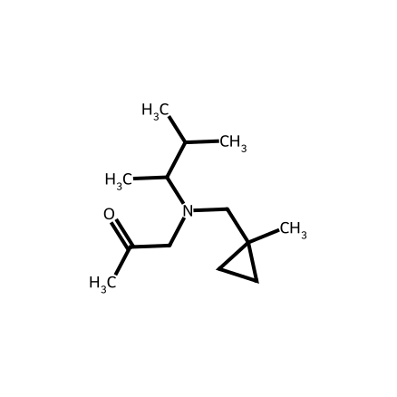 CC(=O)CN(CC1(C)CC1)C(C)C(C)C